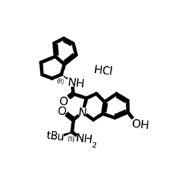 CC(C)(C)[C@H](N)C(=O)N1Cc2cc(O)ccc2CC1C(=O)N[C@@H]1CCCc2ccccc21.Cl